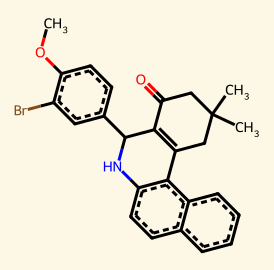 COc1ccc(C2Nc3ccc4ccccc4c3C3=C2C(=O)CC(C)(C)C3)cc1Br